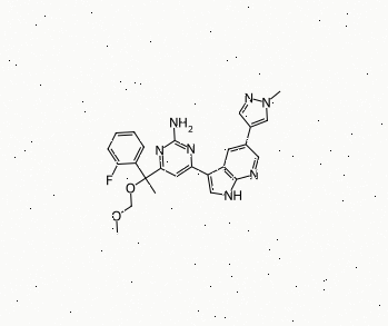 COCOC(C)(c1cc(-c2c[nH]c3ncc(-c4cnn(C)c4)cc23)nc(N)n1)c1ccccc1F